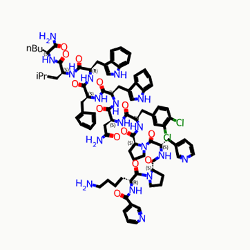 CCCC[C@H](NC(=O)[C@H](CC(C)C)NC(=O)[C@@H](Cc1c[nH]c2ccccc12)NC(=O)[C@H](Cc1ccccc1)NC(=O)[C@@H](Cc1c[nH]c2ccccc12)NC(=O)[C@H](CC(N)=O)NC(=O)[C@@H](Cc1ccc(Cl)c(Cl)c1)NC(=O)[C@@H]1CCCN1C(=O)[C@H](Cc1cccnc1)NC(=O)[C@@H]1CCCN1C(=O)[C@@H](CCCCN)NC(=O)c1cccnc1)C(N)=O